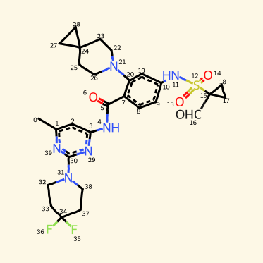 Cc1cc(NC(=O)c2ccc(NS(=O)(=O)C3(C=O)CC3)cc2N2CCC3(CC2)CC3)nc(N2CCC(F)(F)CC2)n1